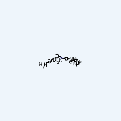 CCC(/C=C(\N)c1ccc(NC(=O)c2ccn3c(C)cc(C)nc23)cc1)CCOCCOCCN